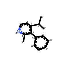 Cc1nccc(C(C)C)c1-c1ccccc1